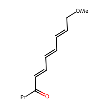 COC/C=C/C=C/C=C/C(=O)C(C)C